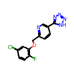 Fc1ccc(Cl)cc1OCc1ccc(-c2nnn[nH]2)cn1